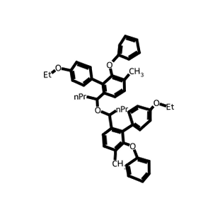 CCCC(OC(CCC)c1ccc(C)c(Oc2ccccc2)c1-c1ccc(OCC)cc1)c1ccc(C)c(Oc2ccccc2)c1-c1ccc(OCC)cc1